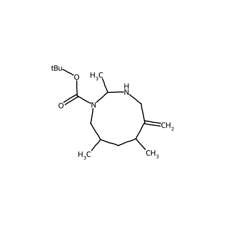 C=C1CNC(C)N(C(=O)OC(C)(C)C)CC(C)CC1C